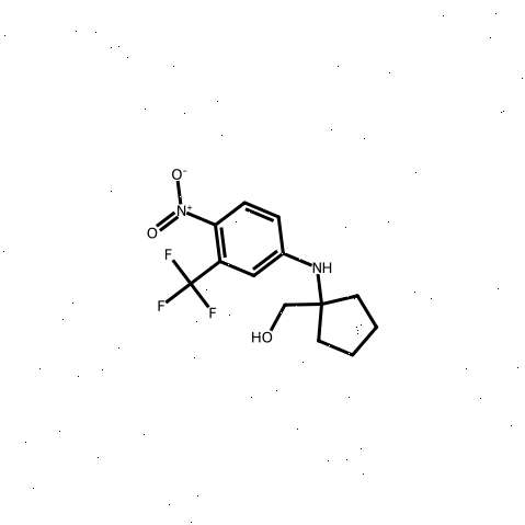 O=[N+]([O-])c1ccc(NC2(CO)CCCC2)cc1C(F)(F)F